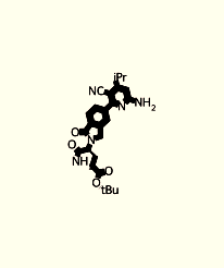 CC(C)c1cc(N)nc(-c2ccc3c(c2)CN([C@@H](CCC(=O)OC(C)(C)C)C(N)=O)C3=O)c1C#N